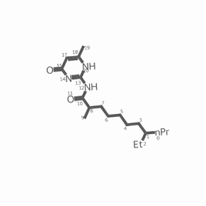 CCCC(CC)CCCCCC(C)C(=O)Nc1nc(=O)cc(C)[nH]1